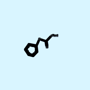 CCCCCC(=O)Oc1ccccc1